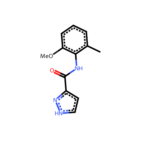 COc1cccc(C)c1NC(=O)c1cc[nH]n1